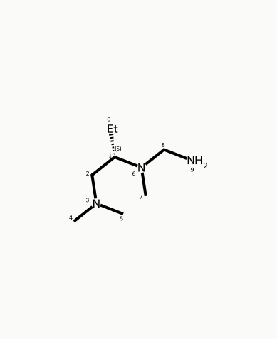 CC[C@@H](CN(C)C)N(C)CN